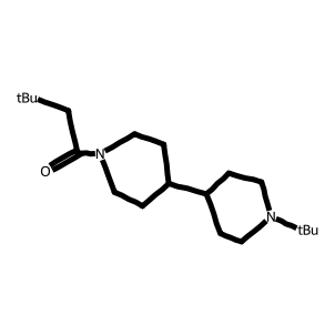 CC(C)(C)CC(=O)N1CCC(C2CCN(C(C)(C)C)CC2)CC1